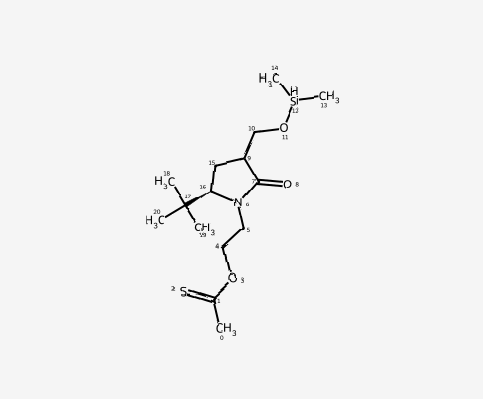 CC(=S)OCCN1C(=O)C(CO[SiH](C)C)C[C@@H]1C(C)(C)C